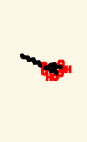 CCCCCCCCOC(=O)c1ccc(C(=O)O)c(C(=O)O)c1